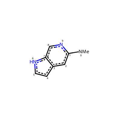 CNc1cc2cc[nH]c2cn1